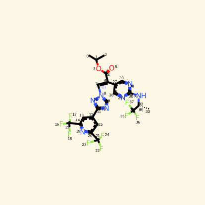 CC(C)OC(=O)/C(=C/n1cnc(-c2cc(C(F)(F)F)nc(C(F)(F)F)c2)n1)c1cnc(N[C@H](C)C(F)(F)F)nc1